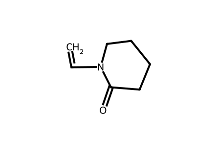 C=CN1CCCCC1=O